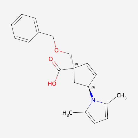 Cc1ccc(C)n1[C@@H]1C=C[C@](COCc2ccccc2)(C(=O)O)C1